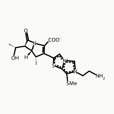 CSc1c2sc(C3=C(C(=O)[O-])N4C(=O)[C@H]([C@@H](C)O)[C@H]4[C@H]3C)c[n+]2cn1CCN